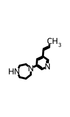 CC=Cc1cncc(N2CCCNCC2)c1